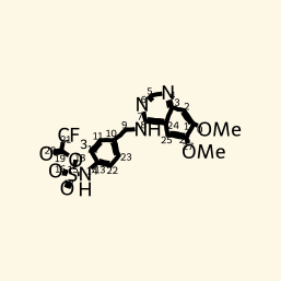 COc1cc2ncnc(NCc3ccc(NS(=O)(=O)OC(=O)C(F)(F)F)cc3)c2cc1OC